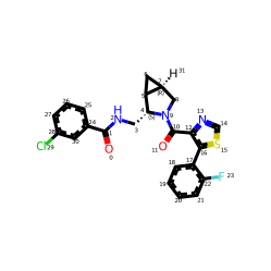 O=C(NC[C@@H]1C2C[C@H]2CN1C(=O)c1ncsc1-c1ccccc1F)c1cccc(Cl)c1